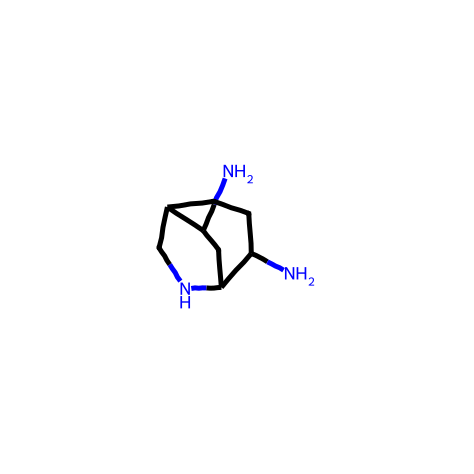 NC1CC2NCC1CCC2N